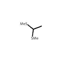 [CH2]SC(C)SC